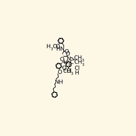 COc1ccccc1CNC(=O)C[C@H]1O[C@H](c2cccc(OCCCNCCCc3ccccc3)c2OC)c2cc(Cl)ccc2N(CC(C)(C)C)C1=O.Cl